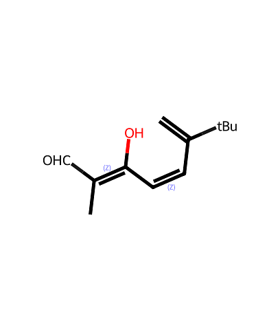 C=C(/C=C\C(O)=C(/C)C=O)C(C)(C)C